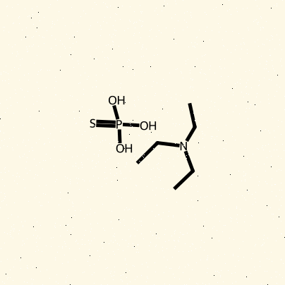 CCN(CC)CC.OP(O)(O)=S